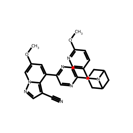 COc1cc(-c2cnc(N3CC4CC(C3)N4Cc3ccc(OC)nc3)cn2)c2c(C#N)cnn2c1